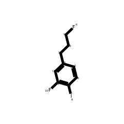 FCCCc1ccc(I)c(F)c1